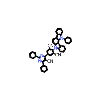 N#Cc1cc(-c2nc(-c3ccccc3)nc(-c3ccccc3)c2C#N)cc(C#N)c1-n1c2ccccc2c2c1ccc1c3ccccc3n(-c3ccccc3)c12